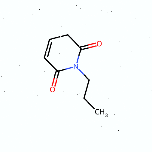 CCCN1C(=O)C=CCC1=O